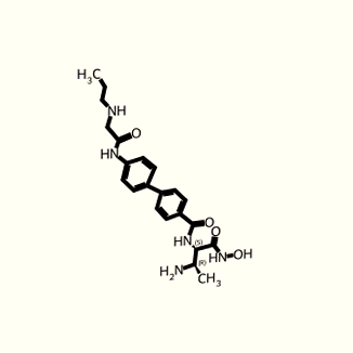 CCCNCC(=O)Nc1ccc(-c2ccc(C(=O)N[C@H](C(=O)NO)[C@@H](C)N)cc2)cc1